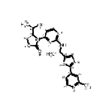 C[C@H](Nc1nccc(N2C(=O)OC[C@@H]2[C@@H](C)O)n1)c1cnc(-c2ccnc(C(F)(F)F)c2)s1